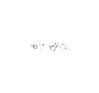 Cc1cc(CNC(=O)COc2cccc3c(C4CCC(=O)NC4=O)nn(C)c23)nn1C